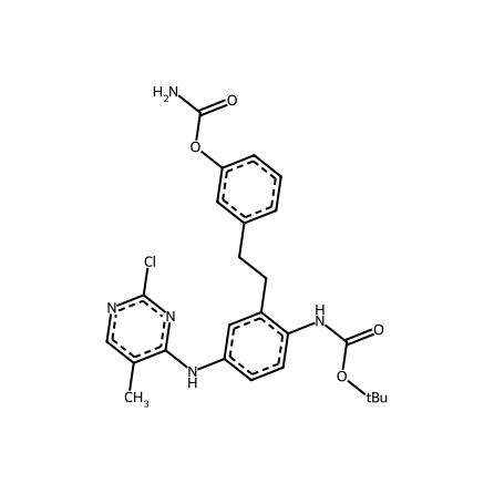 Cc1cnc(Cl)nc1Nc1ccc(NC(=O)OC(C)(C)C)c(CCc2cccc(OC(N)=O)c2)c1